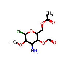 COC1C(Cl)OC(COC(C)=O)C(OC=O)C1N